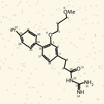 COCCCOc1cc(CCC(=O)NC(=N)N)ccc1-c1ccc(C(C)C)cc1